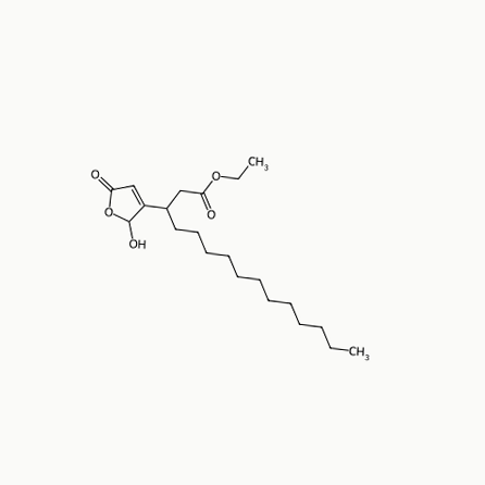 CCCCCCCCCCCCC(CC(=O)OCC)C1=CC(=O)OC1O